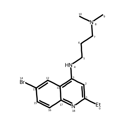 CCc1cc(NCCCN(C)C)c2cc(Br)ccc2n1